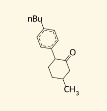 CCCCc1ccc(C2CCC(C)CC2=O)cc1